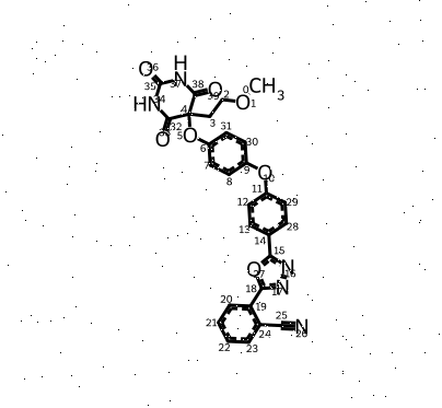 COCCC1(Oc2ccc(Oc3ccc(-c4nnc(-c5ccccc5C#N)o4)cc3)cc2)C(=O)NC(=O)NC1=O